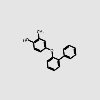 Cc1cc(Oc2ccccc2-c2ccccc2)ccc1O